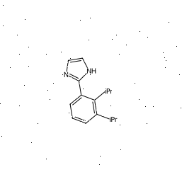 CC(C)c1cccc(-c2ncc[nH]2)c1C(C)C